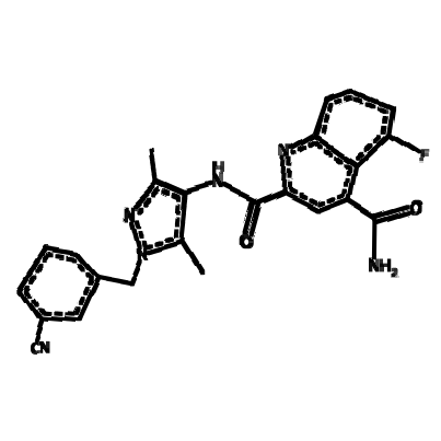 Cc1nn(Cc2cccc(C#N)c2)c(C)c1NC(=O)c1cc(C(N)=O)c2c(F)cccc2n1